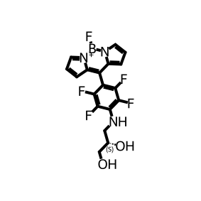 OC[C@@H](O)CNc1c(F)c(F)c(C2=C3C=CC=[N+]3B(F)n3cccc32)c(F)c1F